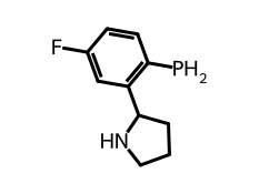 Fc1ccc(P)c(C2CCCN2)c1